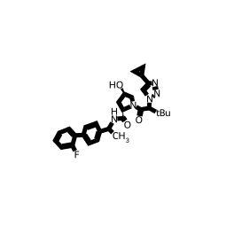 CC(NC(=O)[C@@H]1C[C@@H](O)CN1C(=O)C(n1cc(C2CC2)nn1)C(C)(C)C)c1ccc(-c2ccccc2F)cc1